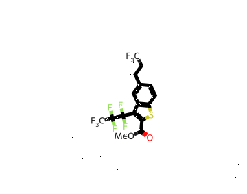 COC(=O)c1sc2ccc(CCC(F)(F)F)cc2c1C(F)(F)C(F)(F)C(F)(F)F